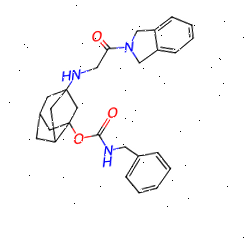 O=C(NCc1ccccc1)OC12CC3CC1CC(NCC(=O)N1Cc4ccccc4C1)(C3)C2